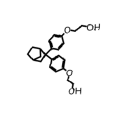 OCCOc1ccc(C2(c3ccc(OCCO)cc3)CC3CCC2C3)cc1